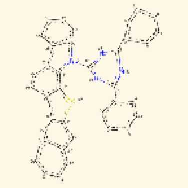 c1ccc(-c2nc(-c3ccccc3)nc(-n3c4ccccc4c4ccc5c6cc7ccccc7cc6sc5c43)n2)cc1